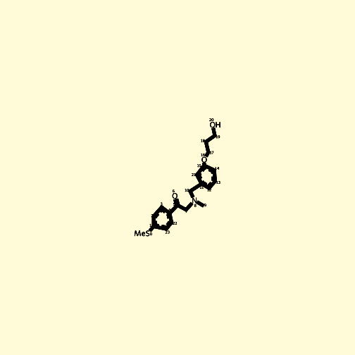 CSc1ccc(C(=O)CN(C)Cc2cccc(OCCCO)c2)cc1